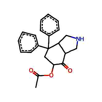 CC(=O)OC1CC(c2ccccc2)(c2ccccc2)C2CNCC2C1=O